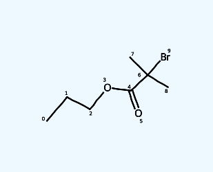 CCCOC(=O)C(C)(C)Br